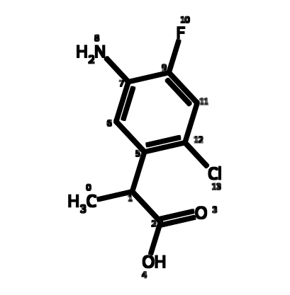 CC(C(=O)O)c1cc(N)c(F)cc1Cl